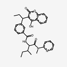 CCC(c1cccc(C(=O)NC(C(=O)N(C)c2ccccn2)C(C)CC)c1)c1c(O)c2ccccc2oc1=O